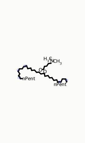 CCCCC/C=C\C/C=C\C/C=C\CCCCCC(CCCCCCCC/C=C\C/C=C\CCCCC)OC(=O)CCCCN(C)C